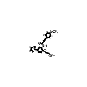 CCOCCOc1ccc(-c2ncc[nH]2)cc1NC(=O)C#Cc1ccc(OC(F)(F)F)cc1